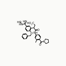 Cc1cc(NC(=O)C(CC(=O)O)c2cc(C(=N)NO)ccc2OCc2ccccc2)ccc1C(=O)N1CCCC1